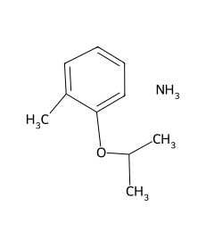 Cc1ccccc1OC(C)C.N